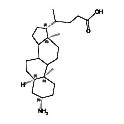 CC(CCC(=O)O)[C@H]1CCC2C3CC[C@@H]4C[C@@H](N)CC[C@]4(C)C3CC[C@@]21C